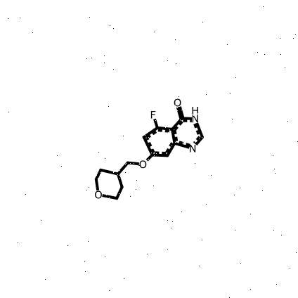 O=c1[nH]cnc2cc(OCC3CCOCC3)cc(F)c12